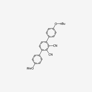 CCCCOc1ccc(-c2ccc(-c3ccc(OC)cc3)c(C#N)c2C#N)cc1